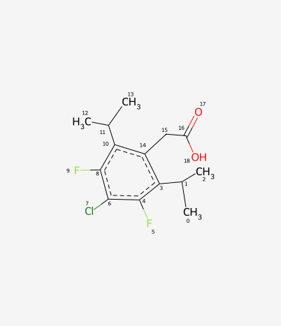 CC(C)c1c(F)c(Cl)c(F)c(C(C)C)c1CC(=O)O